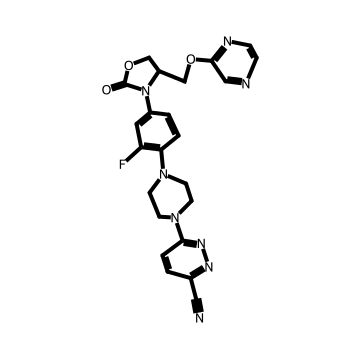 N#Cc1ccc(N2CCN(c3ccc(N4C(=O)OCC4COc4cnccn4)cc3F)CC2)nn1